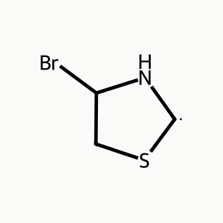 BrC1CS[CH]N1